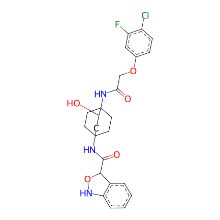 O=C(COc1ccc(Cl)c(F)c1)NC12CCC(NC(=O)C3ONc4ccccc43)(CC1)CC2O